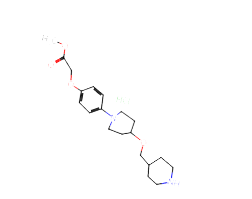 COC(=O)COc1ccc(N2CCC(OCC3CCNCC3)CC2)cc1.Cl